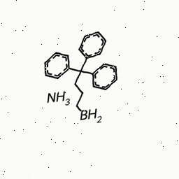 BCCCC(c1ccccc1)(c1ccccc1)c1ccccc1.N